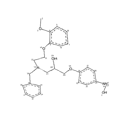 CO.COc1ccccc1OCCN(Cc1ccccc1)CC(O)COc1ccc(N)cc1